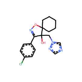 OC1(Cn2cncn2)C(c2ccc(Cl)cc2)=NOC12CCCCC2